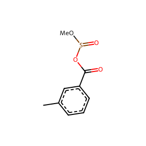 COS(=O)OC(=O)c1cccc(C)c1